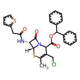 CC1=C(CCl)C(C(=O)OC(c2ccccc2)c2ccccc2)N2C(=O)[C@@H](NC(=O)Cc3cccs3)[C@H]2S1